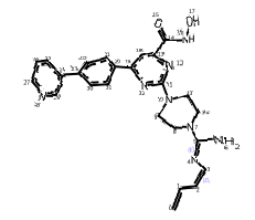 C=C/C=C\N=C(/N)N1CCN(c2nc(C(=O)NO)cc(-c3ccc(-c4cccnc4)cc3)n2)CC1